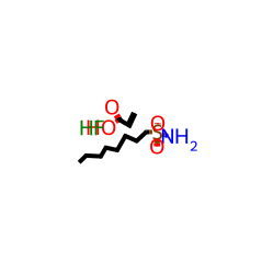 C=CC(=O)O.CCCCCCCCS(N)(=O)=O.F